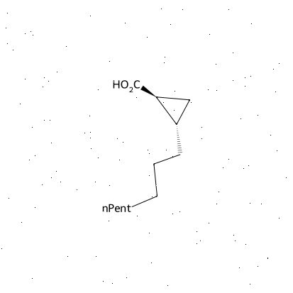 CCCCCCCC[C@H]1C[C@@H]1C(=O)O